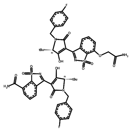 CC(C)(C)[C@H]1C(O)=C(C2=NS(=O)(=O)c3c(C(N)=O)cccc32)C(=O)N1Cc1ccc(F)cc1.CC(C)(C)[C@H]1C(O)=C(C2=NS(=O)(=O)c3c(OCC(N)=O)cccc32)C(=O)N1Cc1ccc(F)cc1